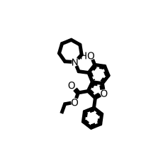 CCOC(=O)c1c(-c2ccccc2)oc2ccc(O)c(CN3CCCCCC3)c12